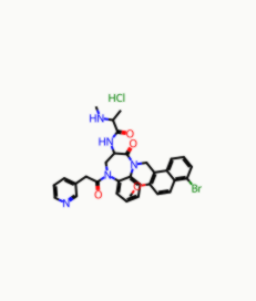 CNC(C)C(=O)NC1CN(C(=O)Cc2cccnc2)c2ccccc2N(Cc2c(OC)ccc3c(Br)cccc23)C1=O.Cl